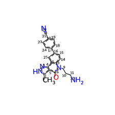 Cc1[nH]nc2c1c(=O)n(CCCN)c1ccc(-c3ccc(C#N)cc3)cc21